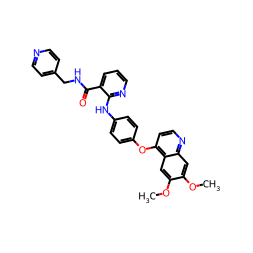 COc1cc2nccc(Oc3ccc(Nc4ncccc4C(=O)NCc4ccncc4)cc3)c2cc1OC